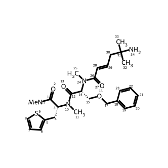 CNC(=O)[C@@H](Cc1cccs1)N(C)C(=O)[C@@H](COCc1ccccc1)N(C)C(=O)C=CCC(C)(C)N